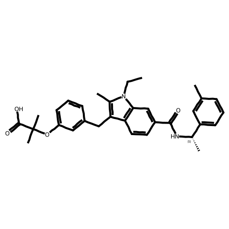 CCn1c(C)c(Cc2cccc(OC(C)(C)C(=O)O)c2)c2ccc(C(=O)N[C@@H](C)c3cccc(C)c3)cc21